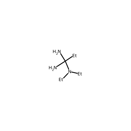 CCN(CC)C(N)(N)CC